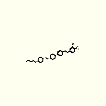 CCCCC[C@H]1CC[C@H](CC[C@H]2CC[C@H](c3ccc(CCc4ccc(Cl)c(F)c4)cc3)CC2)CC1